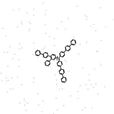 c1ccc(-c2ccc(-c3ccc(N(c4ccc(-c5ccc(-c6ccccc6)cc5)cc4)c4ccc(-c5ccc(-c6ccccc6)cc5)c(-c5ccccc5)c4)cc3)cc2)cc1